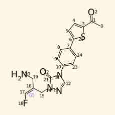 CC(=O)c1ccc(-c2ccc(-n3cnn(C/C(=C\F)CN)c3=O)cc2)s1